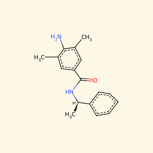 Cc1cc(C(=O)N[C@H](C)c2ccccc2)cc(C)c1N